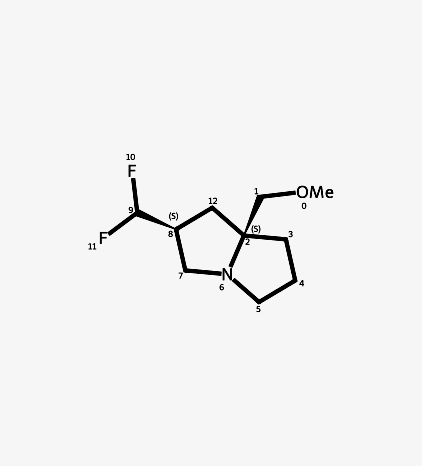 COC[C@@]12CCCN1C[C@@H](C(F)F)C2